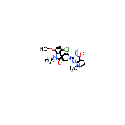 CN1CCCc2c1nc(N1CCC3(CC1)C(=O)N(C)c1c(OCC#N)ccc(Cl)c13)[nH]c2=O